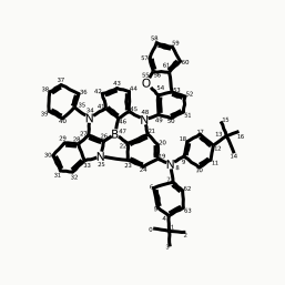 CC(C)(C)c1ccc(N(c2ccc(C(C)(C)C)cc2)c2cc3c4c(c2)-n2c5c(c6ccccc62)N(c2ccccc2)c2cccc(c2B45)N3c2cccc3c2oc2ccccc23)cc1